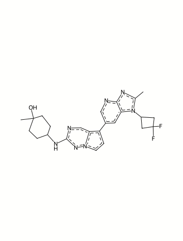 Cc1nc2ncc(-c3ccn4nc(NC5CCC(C)(O)CC5)ncc34)cc2n1C1CC(F)(F)C1